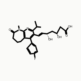 CC(C)c1nc2c(c(-c3ccc(F)cc3)c1C=C[C@@H](O)C[C@@H](O)CC(=O)O)CCCC(=O)N2C